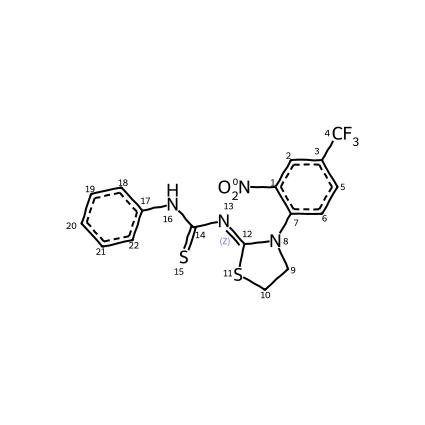 O=[N+]([O-])c1cc(C(F)(F)F)ccc1N1CCS/C1=N\C(=S)Nc1ccccc1